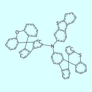 c1ccc2c(c1)Oc1ccccc1C21c2ccccc2-c2cc(N(c3ccc4c(c3)C3(c5ccccc5Sc5ccccc53)c3ccccc3-4)c3ccc4c(c3)sc3ccccc34)ccc21